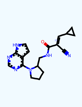 N#C/C(=C\C1CC1)C(=O)NCC1CCCN1c1ncnc2[nH]ccc12